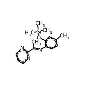 CC(=Nc1ccc(C)cc1O[Si](C)(C)C)c1ncccn1